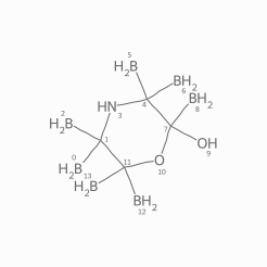 BC1(B)NC(B)(B)C(B)(O)OC1(B)B